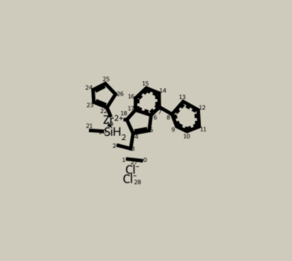 CC.CCC1=Cc2c(-c3ccccc3)cccc2[CH]1[Zr+2]([SiH2]C)[C]1=CC=CC1.[Cl-].[Cl-]